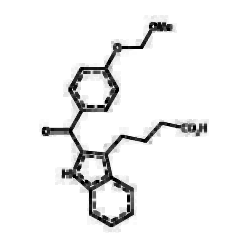 COCOc1ccc(C(=O)c2[nH]c3ccccc3c2CCCC(=O)O)cc1